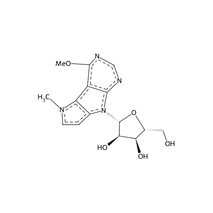 COc1ncnc2c1c1c(ccn1C)n2[C@@H]1O[C@H](CO)[C@@H](O)[C@H]1O